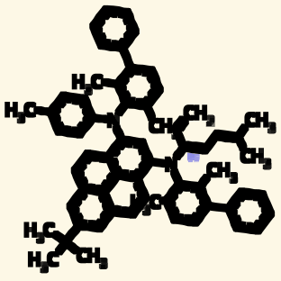 C=C/C(=C\C=C(C)C)N(c1c(C)ccc(-c2ccccc2)c1C)c1cc(N(c2ccc(C)cc2)c2c(C)ccc(-c3ccccc3)c2C)c2ccc3cc(C(C)(C)C)cc4ccc1c2c43